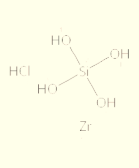 Cl.O[Si](O)(O)O.[Zr]